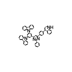 C1=C(c2ccc(-c3cc(-c4cc(-n5c6ccccc6c6ccccc65)cc(-n5c6ccccc6c6ccccc65)c4)nc(-c4ccccc4)n3)cc2)c2ccccc2NC1